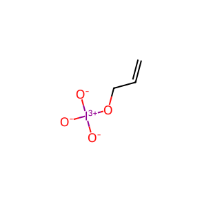 C=CCO[I+3]([O-])([O-])[O-]